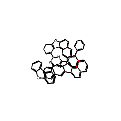 C1=C(c2nc(-c3cccc(-c4ccccc4)c3)nc(-c3cccc4oc5ccccc5c34)n2)c2c(oc3ccc4ccc(-n5c6cc7ccccc7cc6c6ccc7ccccc7c65)cc4c23)CC1